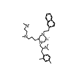 Cc1ccc(CC(CN2C[C@@H](C)N(CCc3ccc4ccccc4c3)C[C@@H]2CCCN(C)CCN(C)C)N(C)C)c(C)c1